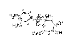 COC1C=C(C)C(=O)CC(C)(C)C1OC(=O)c1ccc(N)c(N)c1